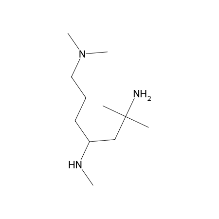 CNC(CCCN(C)C)CC(C)(C)N